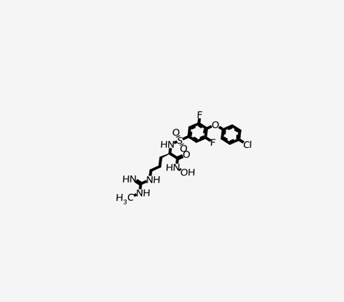 CNC(=N)NCCC[C@@H](NS(=O)(=O)c1cc(F)c(Oc2ccc(Cl)cc2)c(F)c1)C(=O)NO